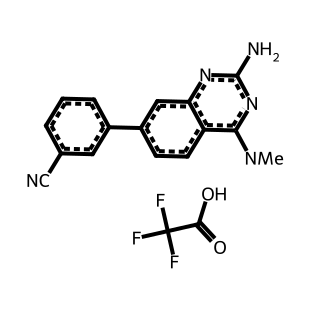 CNc1nc(N)nc2cc(-c3cccc(C#N)c3)ccc12.O=C(O)C(F)(F)F